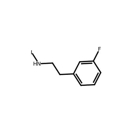 Fc1cccc(CCNI)c1